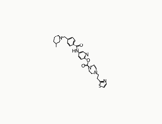 CC1CCCN(Cc2ccc(C(=O)Nc3ccc(OC(=O)N4CCN(CCc5nccs5)CC4)nc3)cc2)C1